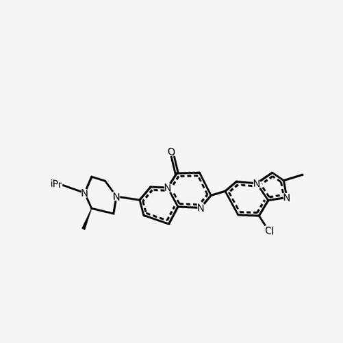 Cc1cn2cc(-c3cc(=O)n4cc(N5CCN(C(C)C)[C@H](C)C5)ccc4n3)cc(Cl)c2n1